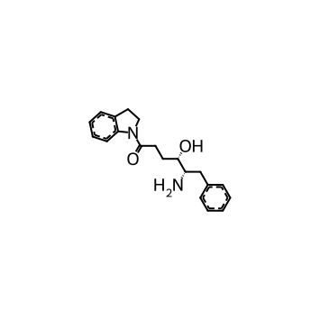 N[C@@H](Cc1ccccc1)[C@@H](O)CCC(=O)N1CCc2ccccc21